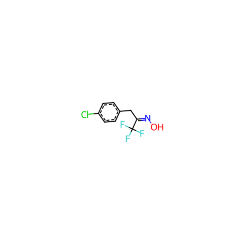 O/N=C(/Cc1ccc(Cl)cc1)C(F)(F)F